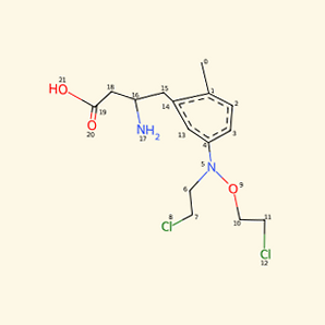 Cc1ccc(N(CCCl)OCCCl)cc1CC(N)CC(=O)O